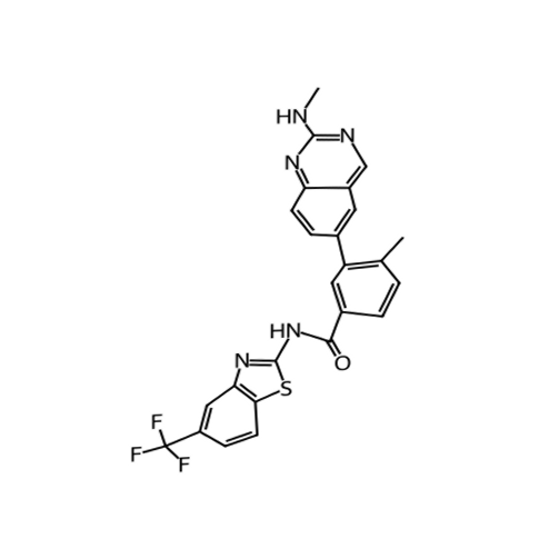 CNc1ncc2cc(-c3cc(C(=O)Nc4nc5cc(C(F)(F)F)ccc5s4)ccc3C)ccc2n1